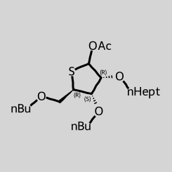 CCCCCCCO[C@H]1C(OC(C)=O)S[C@H](COCCCC)[C@H]1OCCCC